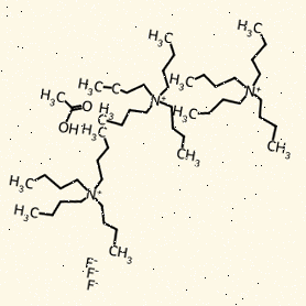 CC(=O)O.CCCC[N+](CCCC)(CCCC)CCCC.CCCC[N+](CCCC)(CCCC)CCCC.CCCC[N+](CCCC)(CCCC)CCCC.[F-].[F-].[F-]